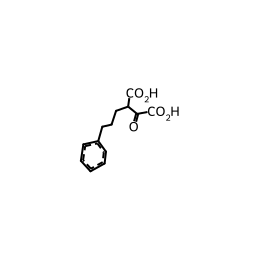 O=C(O)C(=O)C(CCCc1ccccc1)C(=O)O